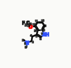 CN(C)CCc1c[nH]c2cccc(OC(F)(F)F)c12